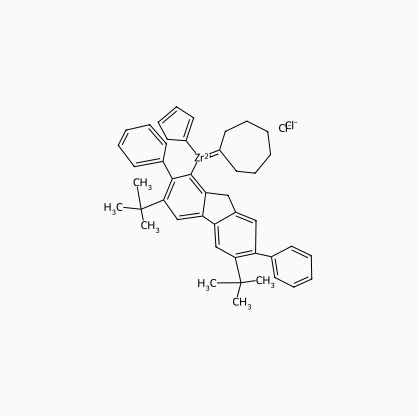 CC(C)(C)c1cc2c(cc1-c1ccccc1)Cc1c-2cc(C(C)(C)C)c(-c2ccccc2)[c]1[Zr+2]([C]1=CC=CC1)=[C]1CCCCCC1.[Cl-].[Cl-]